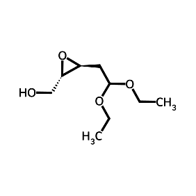 CCOC(C[C@@H]1O[C@H]1CO)OCC